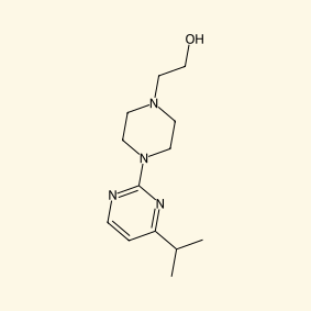 CC(C)c1ccnc(N2CCN(CCO)CC2)n1